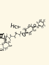 CN(CCCCCCCOc1ccc(OCc2ccccc2)cc1)C1CCCCC1.Cl